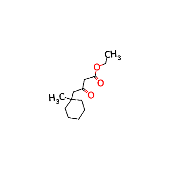 CCOC(=O)CC(=O)CC1(C)CCCCC1